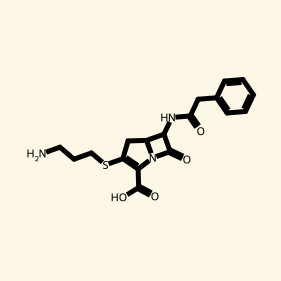 NCCCSC1=C(C(=O)O)N2C(=O)C(NC(=O)Cc3ccccc3)C2C1